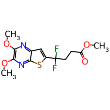 COC(=O)CCC(F)(F)c1cc2nc(OC)c(OC)nc2s1